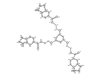 O=C(OCCOc1cc(OCCOC(=O)c2ccc3[nH]nnc3c2)cc(OCCOC(=O)c2ccc3nn[nH]c3c2)c1)c1ccc2[nH]nnc2c1